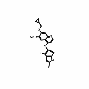 COc1cc2c(Oc3ccc4[nH]c(C)cc4c3F)ccnc2cc1OCC1CC1